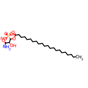 CCCCCCCCCCCCCCCCCCCCCC(=O)OC(C(O)C(N)=O)P(=O)(O)O